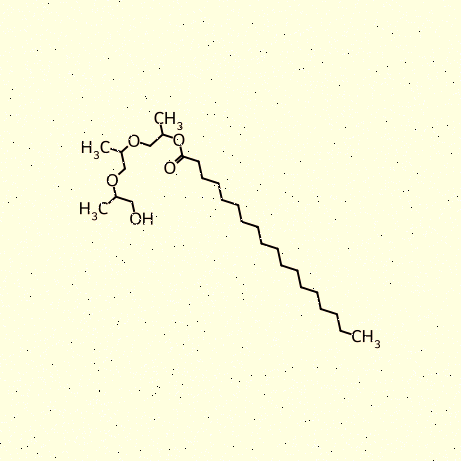 CCCCCCCCCCCCCCCCCC(=O)OC(C)COC(C)COC(C)CO